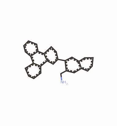 NCc1cc2ccccc2cc1-c1ccc2c3ccccc3c3ccccc3c2c1